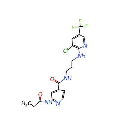 CCC(=O)Nc1cc(C(=O)NCCCNc2ncc(C(F)(F)F)cc2Cl)ccn1